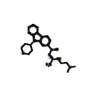 CN(C)CCN/C(N)=N\C(=O)c1ccc2c3ccccc3n(C3CCOCC3)c2c1